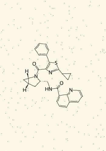 O=C(NC[C@@H]1C[C@@H]2C[C@@H]2N1C(=O)c1nc(C2CC2)sc1-c1ccccc1)c1cccc2cccnc12